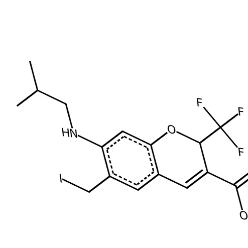 CC(C)CNc1cc2c(cc1CI)C=C(C(=O)O)C(C(F)(F)F)O2